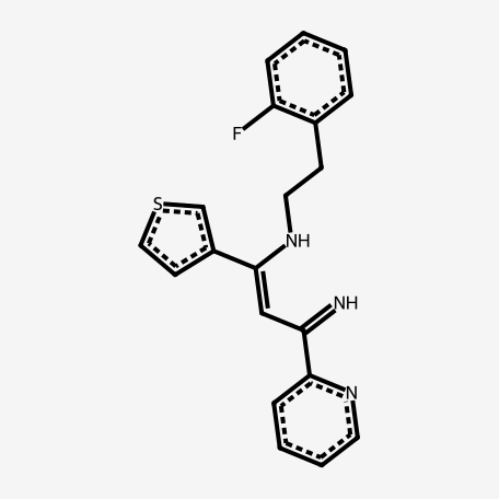 N=C(/C=C(\NCCc1ccccc1F)c1ccsc1)c1ccccn1